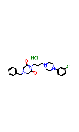 Cl.O=C1CN(Cc2ccccc2)CC(=O)N1CCCN1CCN(c2cccc(Cl)c2)CC1